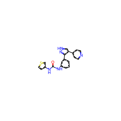 O=C(Nc1ccsc1)Nc1cccc(-c2n[nH]cc2-c2ccncc2)c1